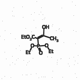 CCOC(=O)/C(=C(/C)O)P(=O)(OCC)OCC